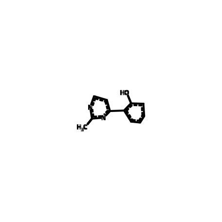 Cc1nccc(-c2ccccc2O)n1